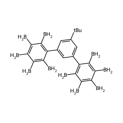 Bc1c(B)c(B)c(-c2cc(-c3c(B)c(B)c(B)c(B)c3B)cc(C(C)(C)C)c2)c(B)c1B